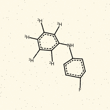 [2H]c1c([2H])c([2H])c(Nc2ccc(F)cc2)c([2H])c1[2H]